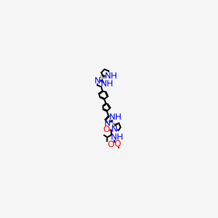 COC(=O)NC(C(=O)N1CCC[C@H]1c1ncc(-c2ccc(-c3ccc(C4CN=C([C@@H]5CCCN5)N4)cc3)cc2)[nH]1)C(C)C